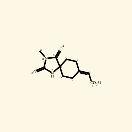 CCOC(=O)C=C1CCC2(CC1)NC(=O)N(C)C2=O